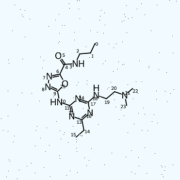 CCCNC(=O)c1nnc(Nc2nc(CC)nc(NCCN(C)C)n2)o1